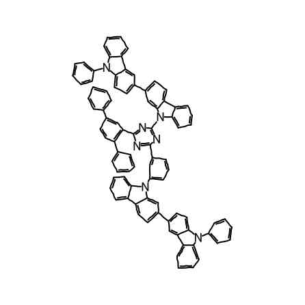 c1ccc(-c2ccc(-c3ccccc3)c(-c3nc(-c4cccc(-n5c6ccccc6c6ccc(-c7ccc8c(c7)c7ccccc7n8-c7ccccc7)cc65)c4)nc(-n4c5ccccc5c5ccc(-c6ccc7c(c6)c6ccccc6n7-c6ccccc6)cc54)n3)c2)cc1